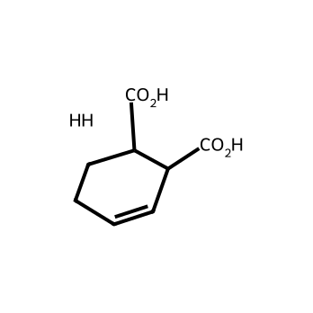 O=C(O)C1C=CCCC1C(=O)O.[HH]